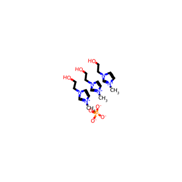 C[n+]1ccn(CCO)c1.C[n+]1ccn(CCO)c1.C[n+]1ccn(CCO)c1.O=P([O-])([O-])[O-]